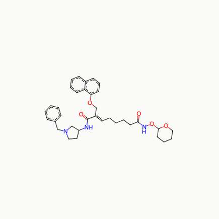 O=C(CCCC/C=C(\COc1cccc2ccccc12)C(=O)NC1CCN(Cc2ccccc2)C1)NOC1CCCCO1